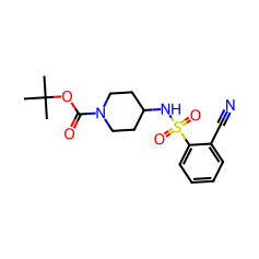 CC(C)(C)OC(=O)N1CCC(NS(=O)(=O)c2ccccc2C#N)CC1